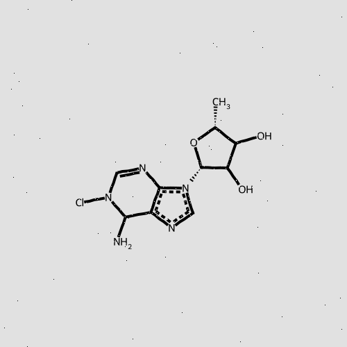 C[C@H]1O[C@@H](n2cnc3c2N=CN(Cl)C3N)C(O)C1O